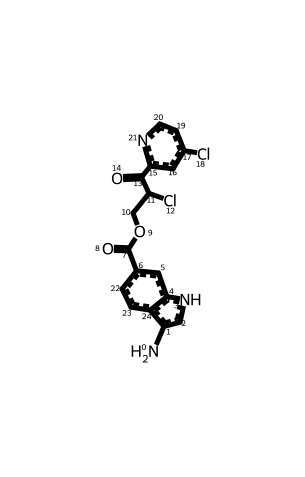 Nc1c[nH]c2cc(C(=O)OCC(Cl)C(=O)c3cc(Cl)ccn3)ccc12